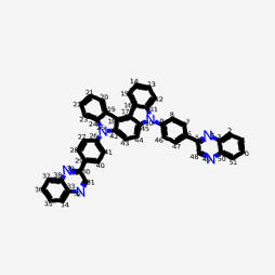 c1ccc2nc(-c3ccc(-n4c5ccccc5c5c6c7ccccc7n(-c7ccc(-c8cnc9ccccc9n8)cc7)c6ccc54)cc3)cnc2c1